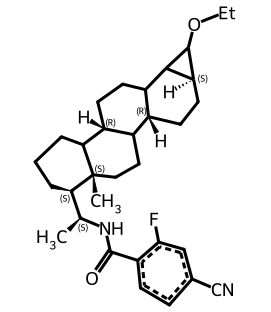 CCOC1C2C3CC[C@@H]4C(CC[C@@]5(C)C4CCC[C@@H]5[C@H](C)NC(=O)c4ccc(C#N)cc4F)[C@H]3CC[C@H]12